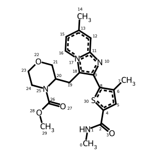 CNC(=O)c1cc(C)c(-c2nc3cc(C)ccn3c2CC2COCCN2C(=O)OC)s1